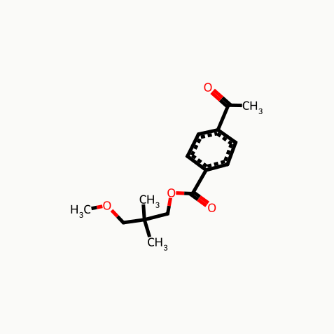 COCC(C)(C)COC(=O)c1ccc(C(C)=O)cc1